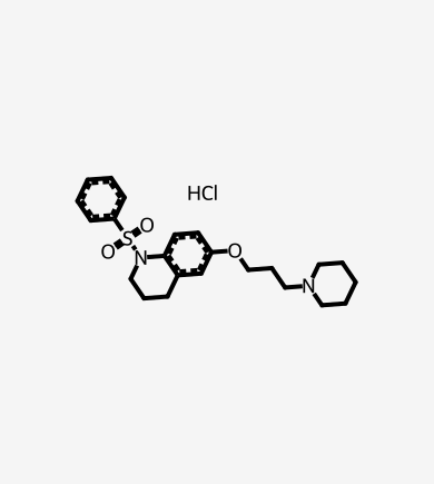 Cl.O=S(=O)(c1ccccc1)N1CCCc2cc(OCCCN3CCCCC3)ccc21